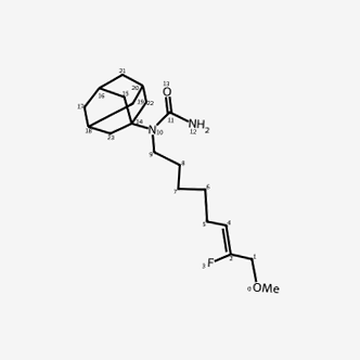 COCC(F)=CCCCCCN(C(N)=O)C12CC3CC(CC(C3)C1)C2